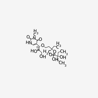 CCC(C)(CCO[C@@H](c1c[nH]c(=O)n(C)c1=O)[C@H](O)CO)OP(=O)(O)C(O)(CC)CC